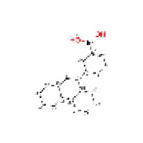 OB(O)C1=CCCC(C2CC3CCCCC3C3CCCCC23)C1